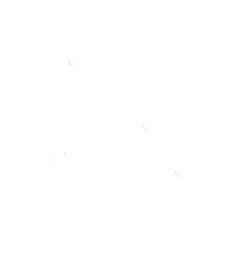 CN(C)Cc1c(-c2ccccc2)ccc2c(CCC3CCN(CC4(CO)CC4)CC3)noc12.Cl.Cl